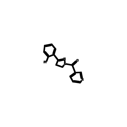 CC(C)c1ccccc1C1=NN(C(=O)c2cccnc2)CC1